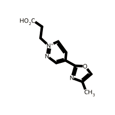 Cc1coc(-c2cc[n+](CCC(=O)O)nc2)n1